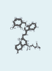 Cc1ccc2nc(/C=C/c3cn(Cc4cccc(Cl)c4Cl)c4ccccc34)cc(NCCN(C)C)c2c1